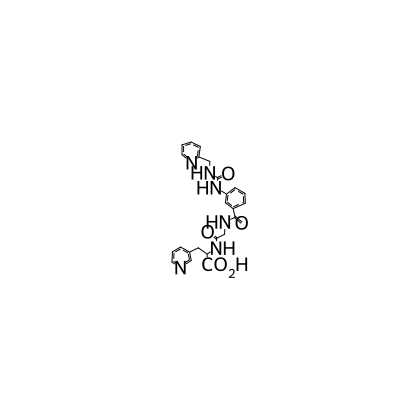 O=C(CNC(=O)c1cccc(NC(=O)NCc2ccccn2)c1)NC(Cc1cccnc1)C(=O)O